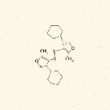 Cc1occ(C2CCCCC2)c1SSc1c(C2CCCCC2)coc1C